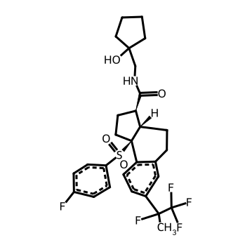 CC(F)(c1ccc2c(c1)CC[C@H]1[C@H](C(=O)NCC3(O)CCCC3)CC[C@@]21S(=O)(=O)c1ccc(F)cc1)C(F)(F)F